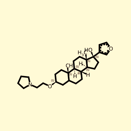 C[C@]12CC[C@H](OCCN3CCCC3)CC1CC[C@@H]1[C@@H]2CC[C@@]2(C)[C@H]1CC[C@@]2(O)c1ccoc1